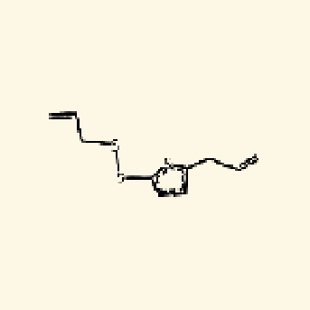 C=CCSSc1ccc(CC=C)s1